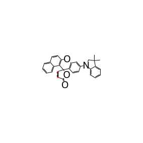 CC1(C)CN(c2ccc3c(c2)Oc2ccc4ccccc4c2C32OC(=O)c3ccccc32)c2ccccc21